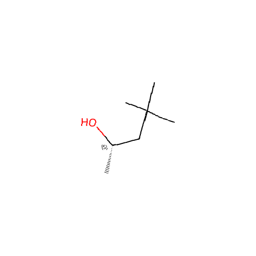 C[C@H](O)CC(C)(C)C